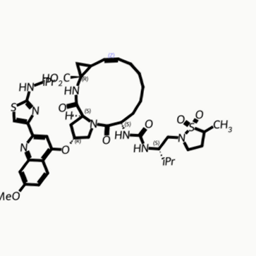 COc1ccc2c(O[C@@H]3C[C@H]4C(=O)N[C@]5(C(=O)O)CC5/C=C\CCCCC[C@H](NC(=O)N[C@H](CN5CCC(C)S5(=O)=O)C(C)C)C(=O)N4C3)cc(-c3csc(NC(C)C)n3)nc2c1